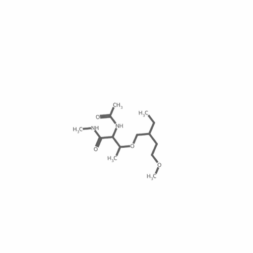 CCC(CCOC)COC(C)C(NC(C)=O)C(=O)NC